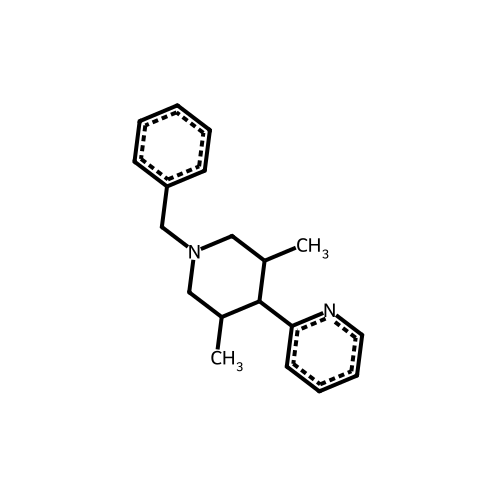 CC1CN(Cc2ccccc2)CC(C)C1c1ccccn1